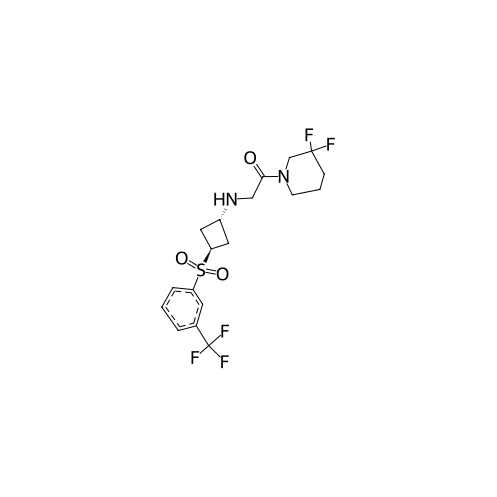 O=C(CN[C@H]1C[C@H](S(=O)(=O)c2cccc(C(F)(F)F)c2)C1)N1CCCC(F)(F)C1